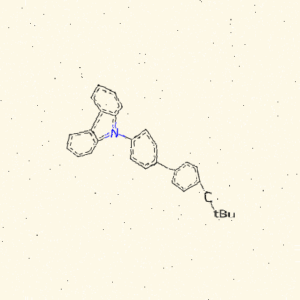 CC(C)(C)Cc1ccc(-c2ccc(-n3c4ccccc4c4ccccc43)cc2)cc1